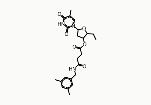 CCC1OC(n2cc(C)c(=O)[nH]c2=O)CC1OC(=O)CCC(=O)NCc1cc(C)cc(C)c1